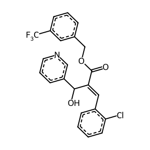 O=C(OCc1cccc(C(F)(F)F)c1)C(=Cc1ccccc1Cl)C(O)c1cccnc1